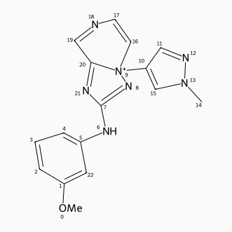 COc1cccc(NC2=N[N+]3(c4cnn(C)c4)C=CN=CC3=N2)c1